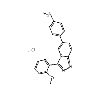 COc1ccccc1-c1nnc2ccc(-c3ccc(N)cc3)cn12.Cl